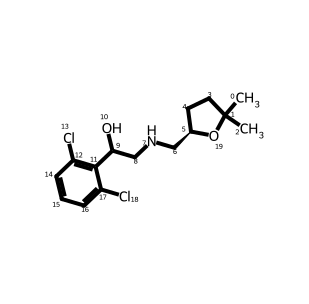 CC1(C)CC[C@H](CNCC(O)c2c(Cl)cccc2Cl)O1